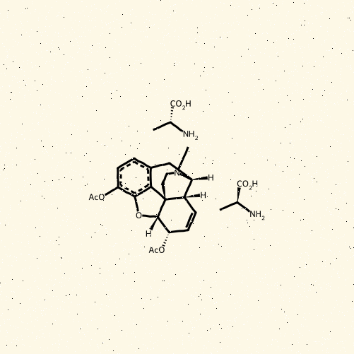 CC(=O)Oc1ccc2c3c1O[C@H]1[C@@H](OC(C)=O)C=C[C@H]4[C@@H](C2)N(C)CC[C@@]341.C[C@@H](N)C(=O)O.C[C@H](N)C(=O)O